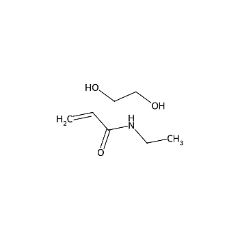 C=CC(=O)NCC.OCCO